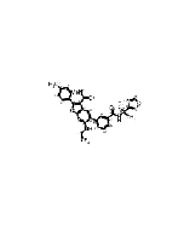 CNC(=O)c1c(-c2ccc(C)cc2)oc2nc(NCC(F)(F)F)c(-c3cccc(C(=O)NC(C)(C)c4ncon4)c3)cc12